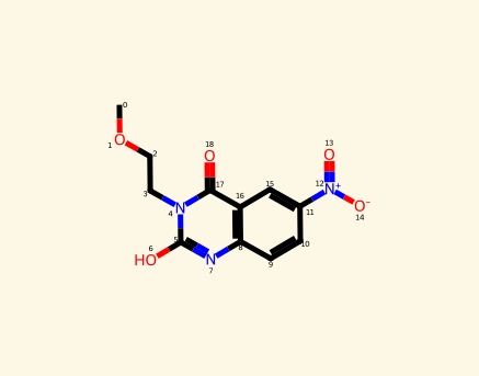 COCCn1c(O)nc2ccc([N+](=O)[O-])cc2c1=O